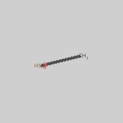 CCCCCCCCCCCCCCCCCCCCCCCCOC(=O)CCS